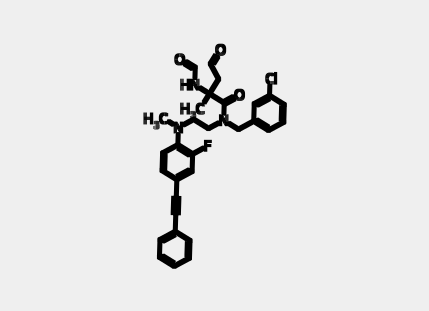 CN(CCN(Cc1cccc(Cl)c1)C(=O)C(C)(CC=O)NC=O)c1ccc(C#Cc2ccccc2)cc1F